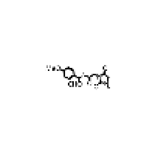 COc1ccc(C(C=O)NC(=O)CN2C(=O)CN(C)C2=O)cc1